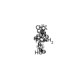 CCS(=O)(=O)N(Cc1cccc(Cl)c1)C(=O)c1cc(C(F)(F)F)c(CN2CCN(C(=O)O)CC2)cc1N